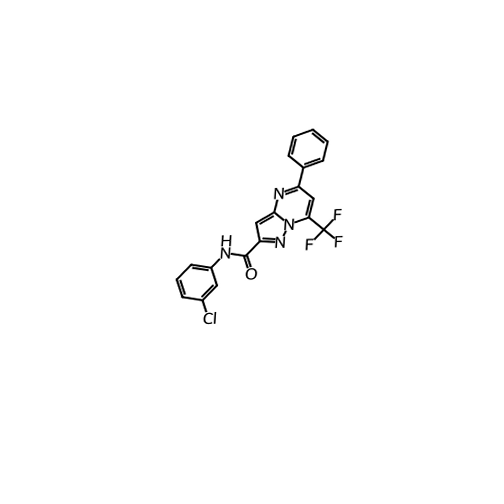 O=C(Nc1cccc(Cl)c1)c1cc2nc(-c3ccccc3)cc(C(F)(F)F)n2n1